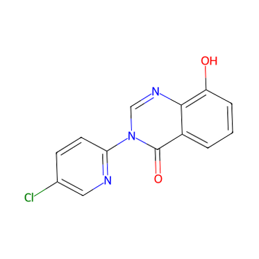 O=c1c2cccc(O)c2ncn1-c1ccc(Cl)cn1